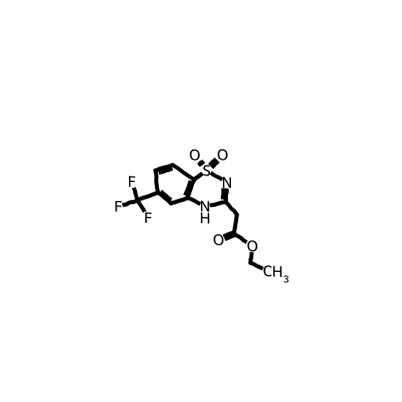 CCOC(=O)CC1=NS(=O)(=O)c2ccc(C(F)(F)F)cc2N1